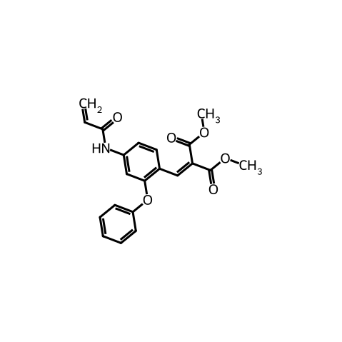 C=CC(=O)Nc1ccc(C=C(C(=O)OC)C(=O)OC)c(Oc2ccccc2)c1